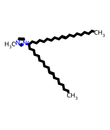 CCCCCCC/C=C/CCCCCCCCC(CCCCCCCC/C=C/CCCCCCCC)[n+]1ccn(C)c1